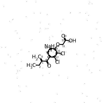 C=C(CC)C(=O)c1ccc(OCC(=O)O)c(Cl)c1Cl.[NaH]